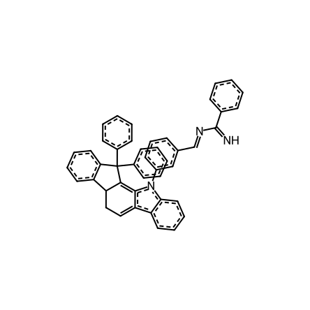 N=C(/N=C/c1cccc(-n2c3c(c4ccccc42)=CCC2C=3C(c3ccccc3)(c3ccccc3)c3ccccc32)c1)c1ccccc1